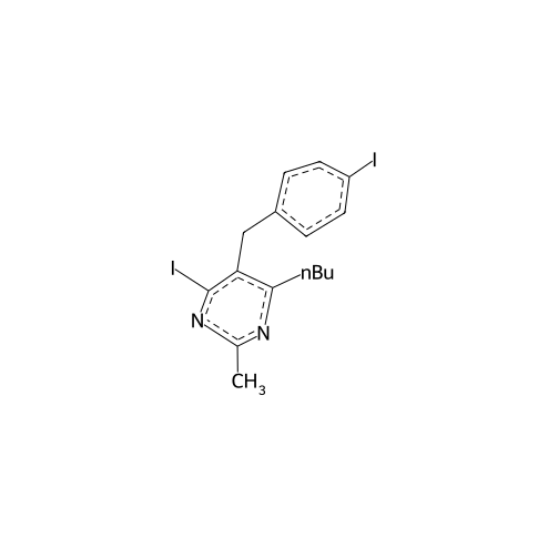 CCCCc1nc(C)nc(I)c1Cc1ccc(I)cc1